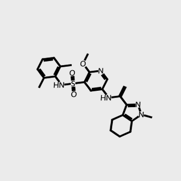 C=C(Nc1cnc(OC)c(S(=O)(=O)Nc2c(C)cccc2C)c1)c1nn(C)c2c1CCCC2